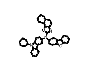 c1ccc(-n2c3ccccc3c3cc(N(c4ccc5oc6ccccc6c5c4)c4nc5ccc6ccccc6c5o4)ccc32)cc1